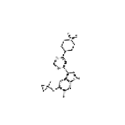 CC1(Oc2cc3c(-c4cc(N5CCS(=O)(=O)CC5)ncn4)n[nH]c3cc2F)CC1